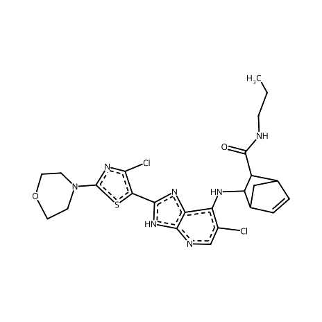 CCCNC(=O)C1C2C=CC(C2)C1Nc1c(Cl)cnc2[nH]c(-c3sc(N4CCOCC4)nc3Cl)nc12